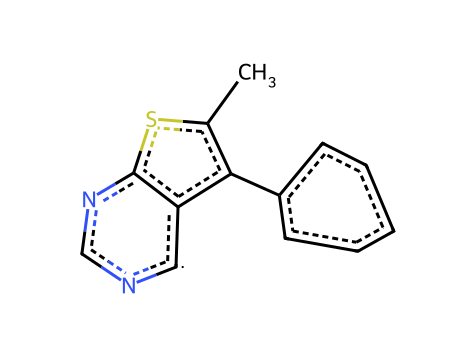 Cc1sc2ncn[c]c2c1-c1ccccc1